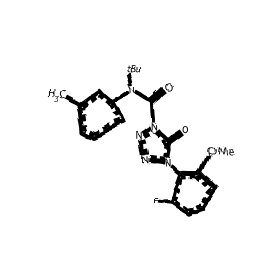 COc1cccc(F)c1-n1nnn(C(=O)N(c2cccc(C)c2)C(C)(C)C)c1=O